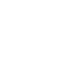 CCCC(C)C(=O)Oc1ccc(C(C)C)cc1